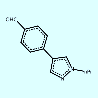 CCCn1cc(-c2ccc(C=O)cc2)cn1